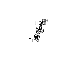 CN(C(=O)Oc1ccc2c3c(oc2c1)C(C)(C)c1cc(OC[C@@H](O)C(O)CO)ccc1C3=O)c1ccccc1